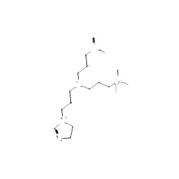 C[SiH](C)CCCN(CCCN1C=NCC1)CCC[SiH](C)C